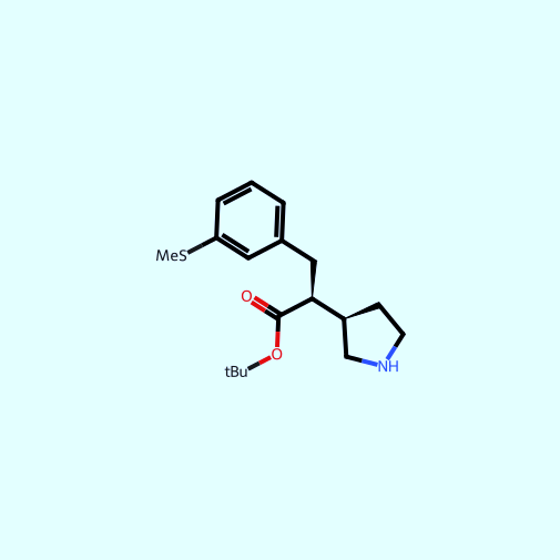 CSc1cccc(C[C@H](C(=O)OC(C)(C)C)[C@H]2CCNC2)c1